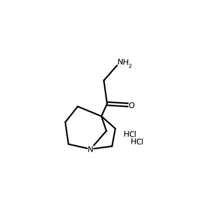 Cl.Cl.NCC(=O)C12CCCN(CC1)C2